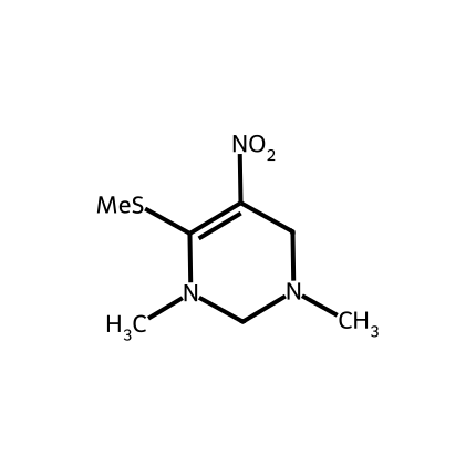 CSC1=C([N+](=O)[O-])CN(C)CN1C